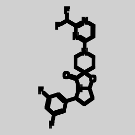 O=C1N2C(CCC2c2cc(F)cc(F)c2)OC12CCN(c1ccnc(C(F)F)n1)CC2